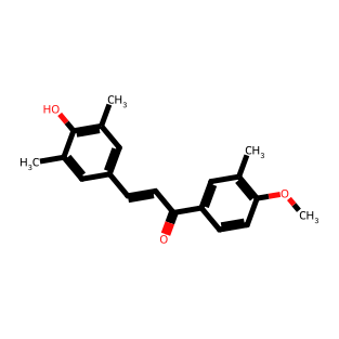 COc1ccc(C(=O)C=Cc2cc(C)c(O)c(C)c2)cc1C